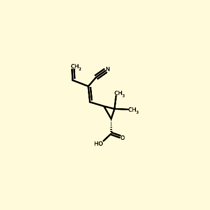 C=CC(C#N)=CC1[C@@H](C(=O)O)C1(C)C